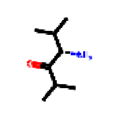 CC(C)C(=O)[C@@H](N)C(C)C